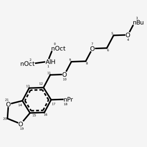 CCCCCCC[CH2][AlH][CH2]CCCCCCC.CCCCOCCOCCOCc1cc2c(cc1CCC)OCO2